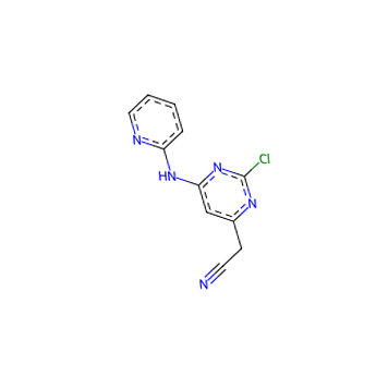 N#CCc1cc(Nc2ccccn2)nc(Cl)n1